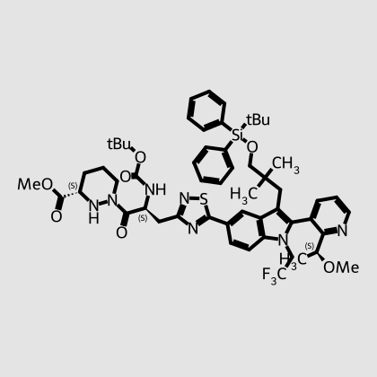 COC(=O)[C@@H]1CCCN(C(=O)[C@H](Cc2nsc(-c3ccc4c(c3)c(CC(C)(C)CO[Si](c3ccccc3)(c3ccccc3)C(C)(C)C)c(-c3cccnc3[C@H](C)OC)n4CC(F)(F)F)n2)NC(=O)OC(C)(C)C)N1